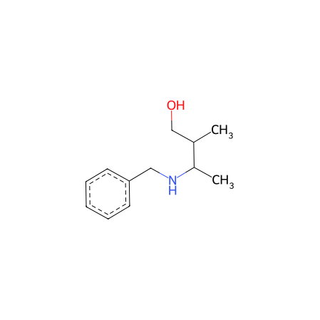 CC(CO)C(C)NCc1ccccc1